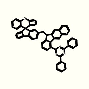 c1ccc(-c2nc(-c3ccccc3)nc(-c3cccc4c3-c3cc5ccccc5cc3C4Cc3ccc4c(c3)C3(c5ccccc5Oc5ccccc53)c3ccccc3-4)n2)cc1